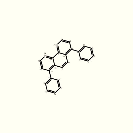 [c]1cccc(-c2ccnc3c2ccc2c(-c4ccccc4)ccnc23)c1